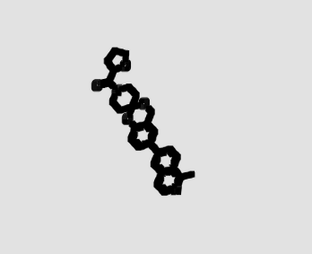 Cc1nccc2cc(-c3ccc4c(c3)COC3(CCN(C(=O)C5CCCO5)CC3)O4)ccc12